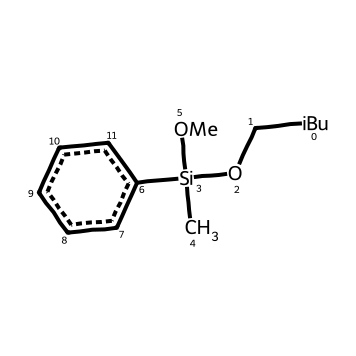 CCC(C)CO[Si](C)(OC)c1ccccc1